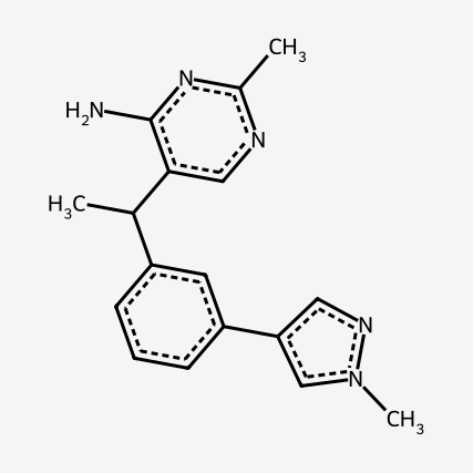 Cc1ncc(C(C)c2cccc(-c3cnn(C)c3)c2)c(N)n1